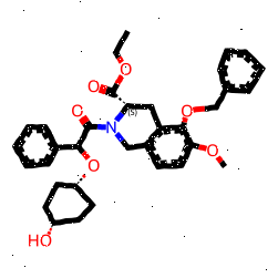 CCOC(=O)[C@@H]1Cc2c(ccc(OC)c2OCc2ccccc2)CN1C(=O)C(O[C@H]1CC[C@@H](O)CC1)c1ccccc1